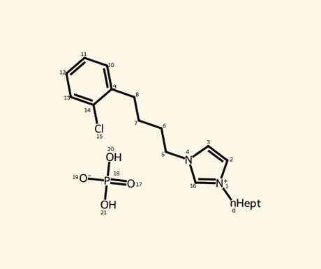 CCCCCCC[n+]1ccn(CCCCc2ccccc2Cl)c1.O=P([O-])(O)O